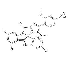 COc1nc(C2CC2)ncc1-c1nc2c(n1C(C)C)C1(C(=O)Nc3cc(Cl)ccc31)N(c1cc(F)cc(Cl)c1)C2=O